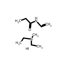 C=CNC(=O)CC.CCN(C)CC.I